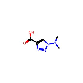 CN(C)n1cc(C(=O)O)nn1